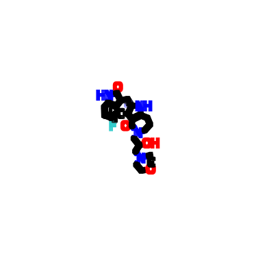 CC1C2=C(CCCN(CC(O)CN3CCOCC3)C2=O)N/C1=C/C1C(=O)Nc2ccc(F)cc21